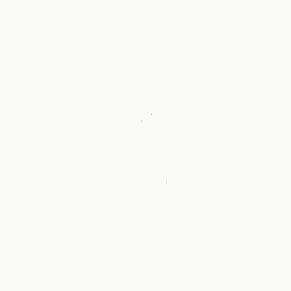 COc1cc(F)ccc1OCCBr